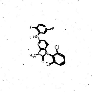 Cn1c(=O)n(-c2c(Cl)cccc2Cl)c2ccc(Nc3cc(F)ccc3F)nc21